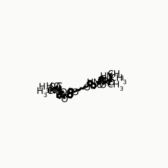 CC[C@H](NC(=O)[C@H](C)NC)C(=O)N1CCC[C@H]1C(=O)N[C@@H]1CCCc2c(OCCCCCOc3cccc4c3CCC[C@H]4NC(=O)[C@@H]3CCCN3C(=O)[C@H](CC)NC(=O)[C@H](C)NC)cccc21